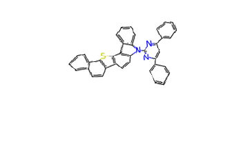 c1ccc(-c2cc(-c3ccccc3)nc(-n3c4ccccc4c4c5sc6c7ccccc7ccc6c5ccc43)n2)cc1